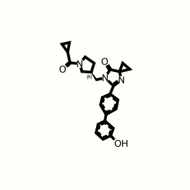 O=C(C1CC1)N1CC[C@@H](CN2C(=O)C3(CC3)N=C2c2ccc(-c3cccc(O)c3)cc2)C1